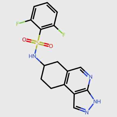 O=S(=O)(NC1CCc2c(cnc3[nH]ncc23)C1)c1c(F)cccc1F